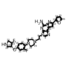 Nc1nc2c(ncn2CCN2CCN(c3ccc(O[C@@H]4CNC[C@H]4F)cc3F)CC2)c2cc(-c3ccco3)nn12